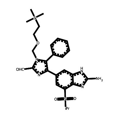 CC(C)S(=O)(=O)c1cc(-c2nc(C=O)n(COCC[Si](C)(C)C)c2-c2ccccc2)cc2[nH]c(N)nc12